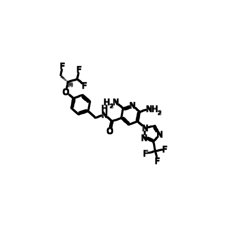 Nc1nc(N)c(-n2cnc(C(F)(F)F)n2)cc1C(=O)NCc1ccc(O[C@H](CF)C(F)F)cc1